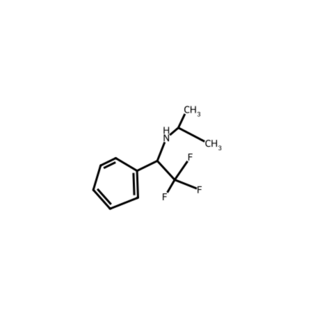 CC(C)NC(c1ccccc1)C(F)(F)F